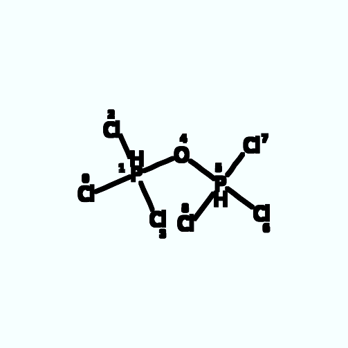 Cl[PH](Cl)(Cl)O[PH](Cl)(Cl)Cl